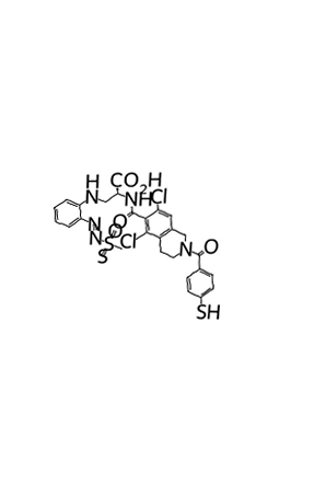 CS(=O)(=S)N=Nc1ccccc1NC[C@H](NC(=O)c1c(Cl)cc2c(c1Cl)CCN(C(=O)c1ccc(S)cc1)C2)C(=O)O